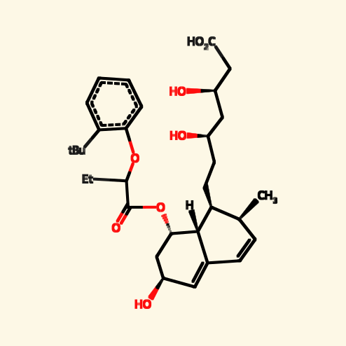 CCC(Oc1ccccc1C(C)(C)C)C(=O)O[C@H]1C[C@H](O)C=C2C=C[C@H](C)[C@H](CC[C@@H](O)C[C@@H](O)CC(=O)O)[C@H]21